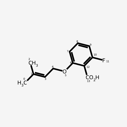 CC(C)=CCOc1cccc(F)c1C(=O)O